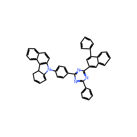 C1=CCC2C(=C1)N(c1ccc(-c3nc(-c4ccccc4)nc(-c4cc(-c5ccccc5)c5ccccc5c4)n3)cc1)c1ccc3ccccc3c12